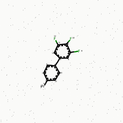 CC(C)c1ccc(-c2cc(F)c(F)c(F)c2)cc1